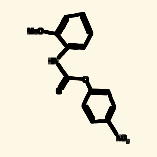 COc1ccccc1NC(=O)Oc1ccc([N+](=O)[O-])cc1